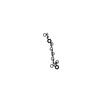 CC(=O)SCc1ccc(OCCOCCOCCOCCN2C(=O)c3ccccc3C2=O)cc1